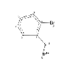 CCCSc1ccccc1Br